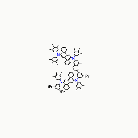 Cc1cc(N(c2cc(C(C)C)cc(C(C)C)c2)c2cc3c4ccccc4c(N(c4cc(C(C)C)cc(C(C)CCc5cc(N(c6cc(C)c(C)c(C)c6)c6cc7c8ccccc8c(N(c8cc(C)c(C)c(C)c8)c8cc(C)c(C)c(C)c8)cc7c7ccccc67)cc(C)c5C)c4)c4cc(C)c(C)c(C)c4)cc3c3ccccc23)cc(C)c1C